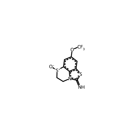 N=c1sc2cc(OC(F)(F)F)cc3c2n1CC[S@@+]3[O-]